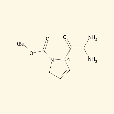 CC(C)(C)OC(=O)N1CC=C[C@H]1C(=O)C(N)N